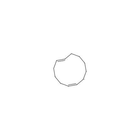 [CH]1/C=C\CCC/C=C/CCCC1